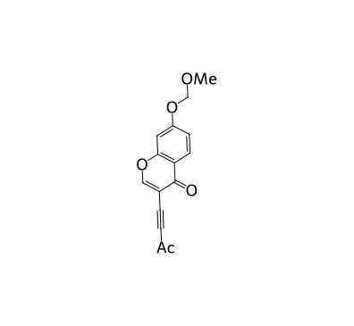 COCOc1ccc2c(=O)c(C#CC(C)=O)coc2c1